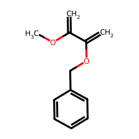 C=C(OC)C(=C)OCc1ccccc1